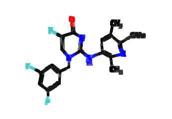 COc1nc(C)c(Nc2nc(=O)c(F)cn2Cc2cc(F)cc(F)c2)cc1C